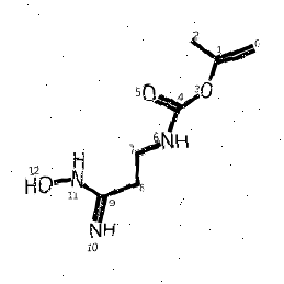 C=C(C)OC(=O)NCCC(=N)NO